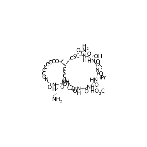 CC(C)[C@@H]1NC(=O)[C@H](CC(=O)O)NC(=O)[C@H](C)NC(=O)[C@@H]2CCCN2C(=O)[C@@H]2CSCc3cc(cc(c3)OCCCCCCO/N=C/C(=O)N[C@@H](CCCCN)C(=O)N2)CSC[C@@H](C(N)=O)NC(=O)[C@H](CO)NC(=O)[C@@H]2CCCN2C1=O